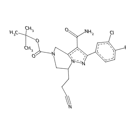 CC(C)(C)OC(=O)N1Cc2c(C(N)=O)c(-c3ccc(F)c(Cl)c3)nn2C(CCC#N)C1